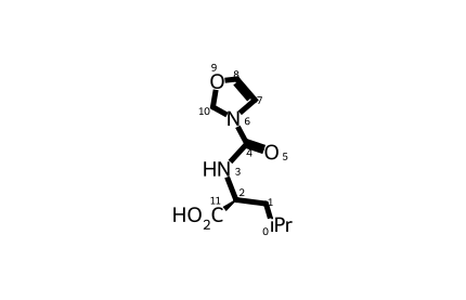 CC(C)C[C@H](NC(=O)N1C=COC1)C(=O)O